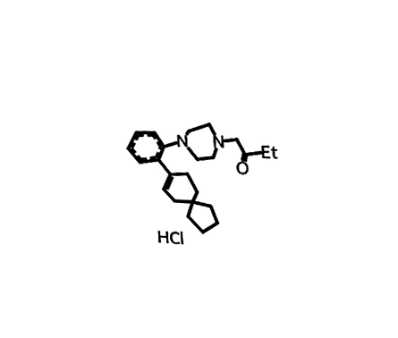 CCC(=O)CN1CCN(c2ccccc2C2=CCC3(CCCC3)CC2)CC1.Cl